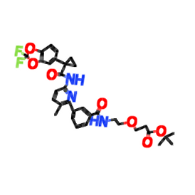 Cc1ccc(NC(=O)C2(c3ccc4c(c3)OC(F)(F)O4)CC2)nc1-c1cccc(C(=O)NCCOCCC(=O)OC(C)(C)C)c1